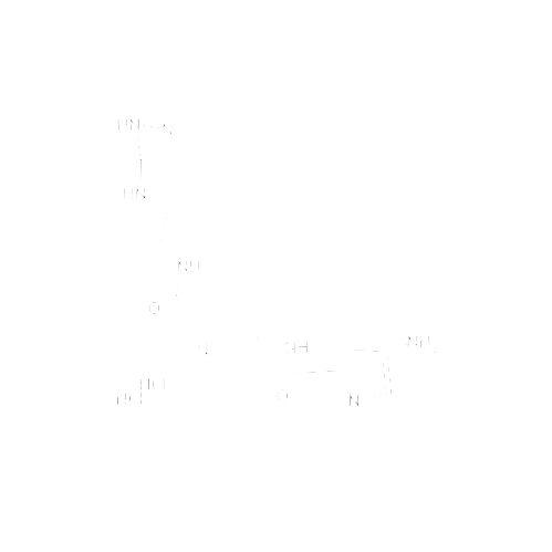 CN1NC1NCCNC(=O)c1cc(NC(=O)c2cc(N)cn2C)cn1C.Cl.Cl